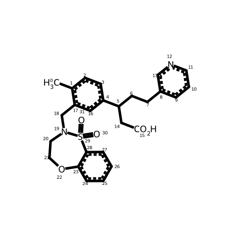 Cc1ccc(C(CCc2cccnc2)CC(=O)O)cc1CN1CCOc2ccccc2S1(=O)=O